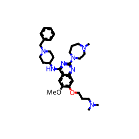 COc1cc2c(NC3CCN(Cc4ccccc4)CC3)nc(N3CCCN(C)CC3)nc2cc1OCCCN(C)C